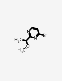 COC(C)c1nc[c]c(Br)n1